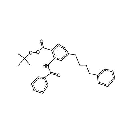 CC(C)(C)OOC(=O)c1ccc(CCCCc2ccccc2)cc1NC(=O)c1ccccc1